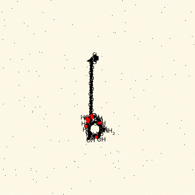 CC[C@H](C)[C@@H]1NC(=O)CNC(=O)[C@@H]2Cc3c([nH]c4c(CSCCOCCOCCOCCOCCOCCOCCOCCOCCOCCN5C=C5CN5C(=O)C=CC5=O)c(O)ccc34)[S+]([O-])C[C@H](NC(=O)CNC1=O)C(=O)N[C@@H](CC(N)=O)C(=O)N1C[C@H](O)C[C@H]1C(=O)NC([C@@H](C)[C@@H](O)CO)C(=O)N2